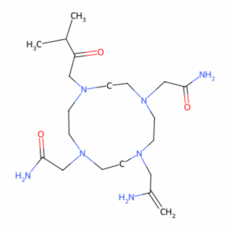 C=C(N)CN1CCN(CC(N)=O)CCN(CC(=O)C(C)C)CCN(CC(N)=O)CC1